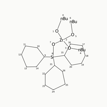 CCCC[O][Zr]([O]CCCC)([O]CCCC)[O][Si](C1CCCCC1)(C1CCCCC1)C1CCCCC1